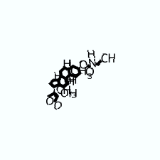 C#CCNC(=O)O[C@H]1CC[C@@]2(C)[C@H](CC[C@@H]3[C@@H]2C[C@@H](O)[C@]2(C)[C@@H](C4=CC(=O)OC4)CC[C@]32O)C1